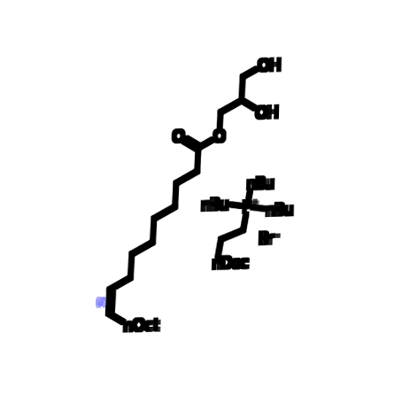 CCCCCCCC/C=C\CCCCCCCC(=O)OCC(O)CO.CCCCCCCCCCCC[P+](CCCC)(CCCC)CCCC.[Br-]